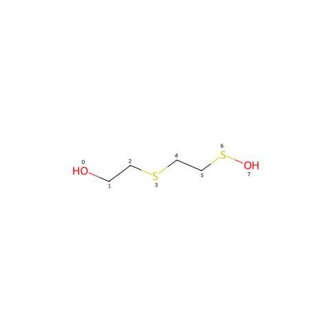 OCCSCCSO